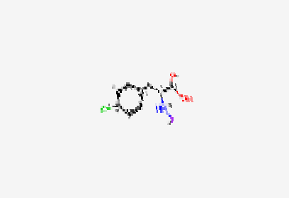 O=C(O)[C@H](Cc1ccc(Cl)cc1)NI